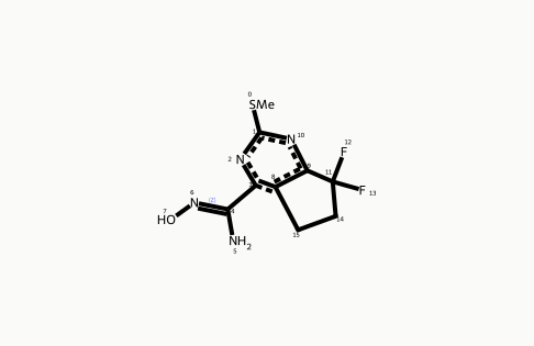 CSc1nc(/C(N)=N/O)c2c(n1)C(F)(F)CC2